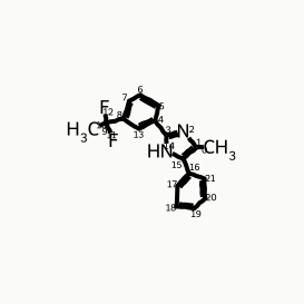 Cc1nc(-c2cccc(C(C)(F)F)c2)[nH]c1-c1ccccc1